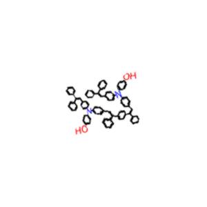 Oc1ccc(N(c2ccc(C=C(c3ccccc3)c3ccccc3)cc2)c2ccc(C=C(c3ccccc3)c3ccc(C(=Cc4ccc(N(c5ccc(O)cc5)c5ccc(C=C(c6ccccc6)c6ccccc6)cc5)cc4)c4ccccc4)cc3)cc2)cc1